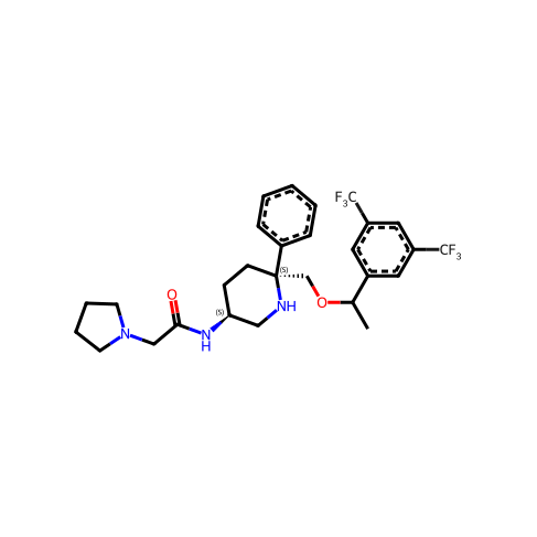 CC(OC[C@@]1(c2ccccc2)CC[C@H](NC(=O)CN2CCCC2)CN1)c1cc(C(F)(F)F)cc(C(F)(F)F)c1